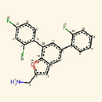 NCc1cc2cc(-c3cc[c]cc3F)cc(-c3ccc(F)cc3F)c2o1